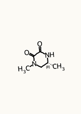 C[C@@H]1CN(C)C(=O)C(=O)N1